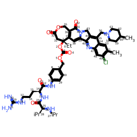 CC[C@@]1(OC(=O)OCc2ccc(NC(=O)[C@H](CCCNC(=N)N)NC(=O)[C@@H](NC(C)C)C(C)C)cc2)CC(=O)OCc2c1cc1n(c2=O)Cc2c-1nc1cc(Cl)c(C)cc1c2CN1CCC(C)CC1